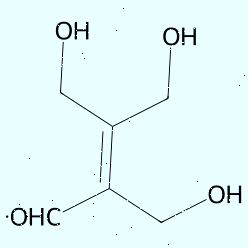 O=[C]C(CO)=C(CO)CO